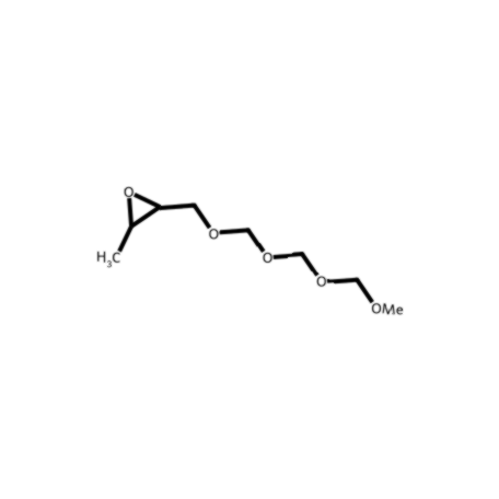 COCOCOCOCC1OC1C